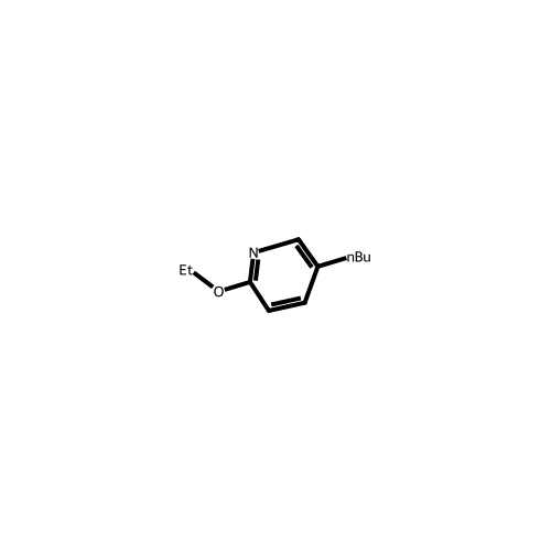 CCCCc1ccc(OCC)nc1